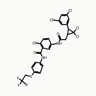 O=C(CC1C(c2cc(Cl)cc(Cl)c2)C1(Cl)Cl)Nc1ccc(Cl)c(C(=O)Nc2ccc(SCC(F)(F)F)cc2)c1